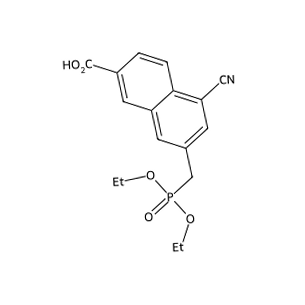 CCOP(=O)(Cc1cc(C#N)c2ccc(C(=O)O)cc2c1)OCC